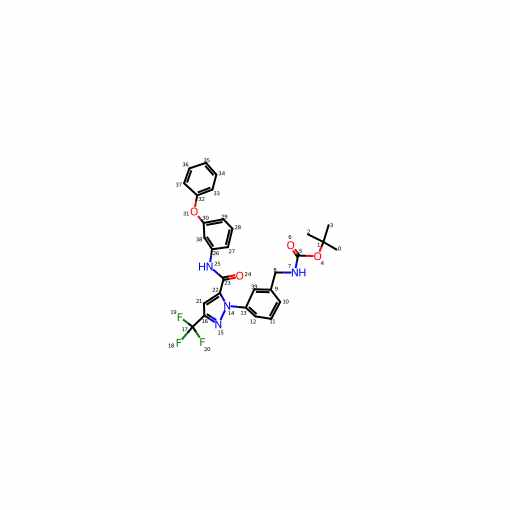 CC(C)(C)OC(=O)NCc1cccc(-n2nc(C(F)(F)F)cc2C(=O)Nc2cccc(Oc3ccccc3)c2)c1